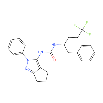 O=C(Nc1c2c(nn1-c1ccccc1)CCC2)NC(CCC(F)(F)F)Cc1ccccc1